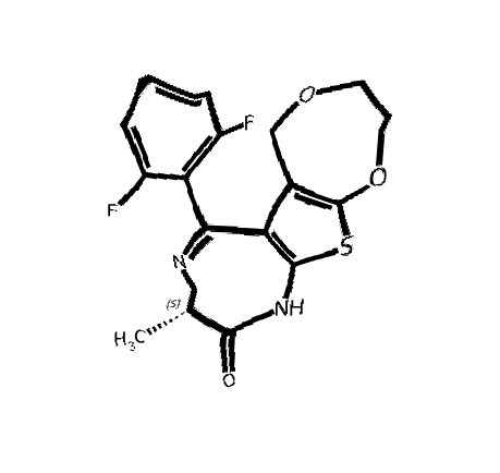 C[C@@H]1N=C(c2c(F)cccc2F)c2c(sc3c2COCCO3)NC1=O